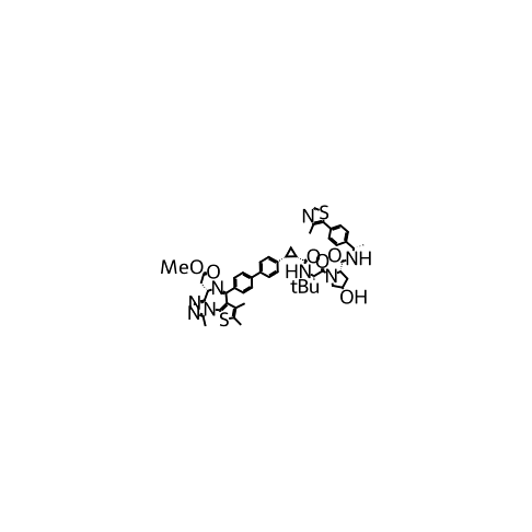 COC(=O)C[C@@H]1N=C(c2ccc(-c3ccc([C@@H]4C[C@@H]4C(=O)N[C@H](C(=O)N4C[C@H](O)C[C@H]4C(=O)N[C@@H](C)c4ccc(-c5scnc5C)cc4)C(C)(C)C)cc3)cc2)c2c(sc(C)c2C)-n2c(C)nnc21